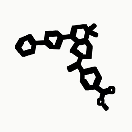 C=C(c1ccc(C(=O)OC)cc1)c1ccc2c(c1)C(c1ccc(-c3ccccc3)cc1)=CCC2(C)C